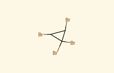 BrC1C(Br)C1(Br)Br